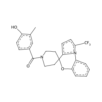 Cc1cc(C(=O)N2CCC3(CC2)Oc2ccccc2-n2c(C(F)(F)F)ccc23)ccc1O